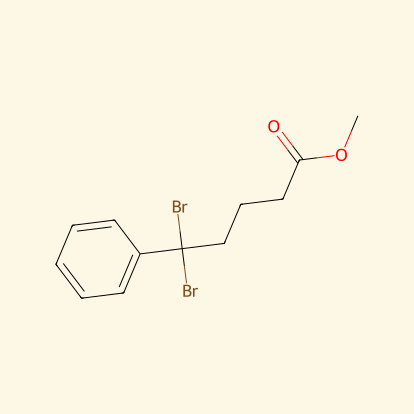 COC(=O)CCCC(Br)(Br)c1ccccc1